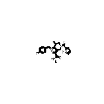 CNC(=O)c1nn(Cc2ccc(F)cc2)c2c1CN(C(=O)c1ccc[nH]1)CC2C